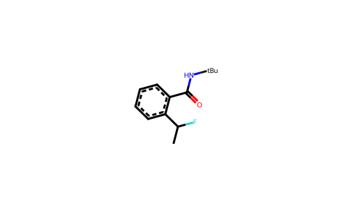 CC(F)c1ccccc1C(=O)NC(C)(C)C